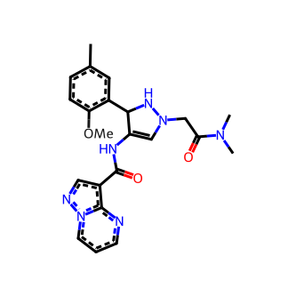 COc1ccc(C)cc1C1NN(CC(=O)N(C)C)C=C1NC(=O)c1cnn2cccnc12